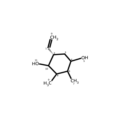 C=C[C@@H]1CC(O)C(C)C(C)C1O